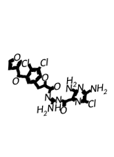 NC(=NC(=O)C1Cc2cc(C(=O)c3ccoc3)c(Cl)c(Cl)c2O1)NC(=O)c1nc(Cl)c(N)nc1N